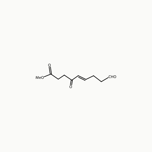 COC(=O)CCC(=O)C=CCCC=O